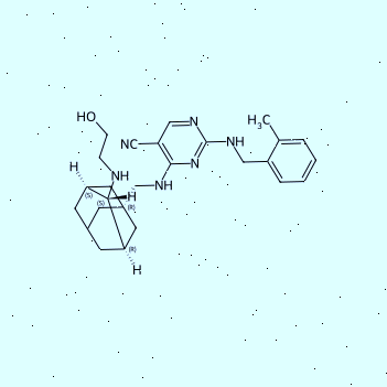 Cc1ccccc1CNc1ncc(C#N)c(NC[C@@]23CC4C[C@H](C2)[C@@H](NCCO)[C@@H](C4)C3)n1